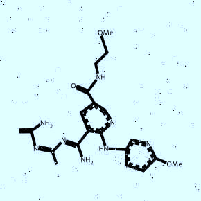 C=C(N)/N=C(C)\N=C(/N)c1cc(C(=O)NCCOC)cnc1Nc1ccc(OC)nc1